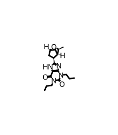 CCCn1c(=O)c2[nH]c([C@H]3C[C@@H]4C[C@H]3[C@H](C)O4)nc2n(CCC)c1=O